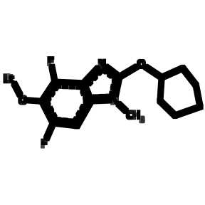 CCOc1c(F)cc2c(nc(OC3CCCCC3)n2C)c1F